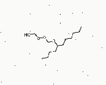 CCCCCCC(CCCC)OCOOCO